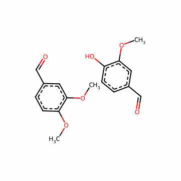 COc1cc(C=O)ccc1O.COc1ccc(C=O)cc1OC